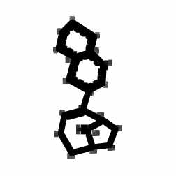 C1=C(c2cnc3ccccc3c2)C2CCC(CC1)N2